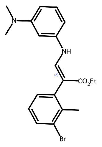 CCOC(=O)/C(=C\Nc1cccc(N(C)C)c1)c1cccc(Br)c1C